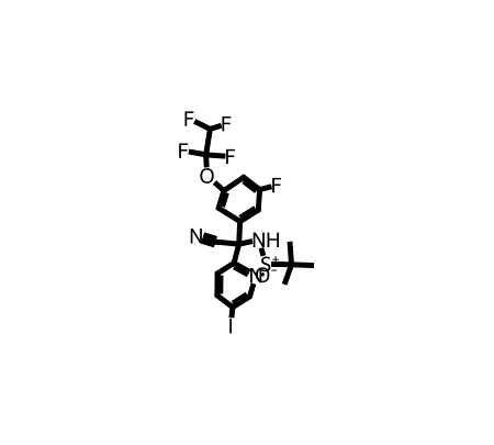 CC(C)(C)[S@+]([O-])NC(C#N)(c1cc(F)cc(OC(F)(F)C(F)F)c1)c1ccc(I)cn1